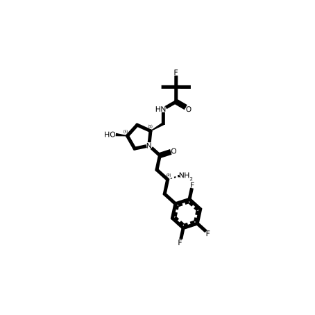 CC(C)(F)C(=O)NC[C@@H]1C[C@H](O)CN1C(=O)C[C@H](N)Cc1cc(F)c(F)cc1F